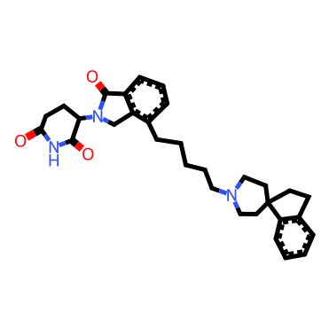 O=C1CCC(N2Cc3c(CCCCCN4CCC5(CCc6ccccc65)CC4)cccc3C2=O)C(=O)N1